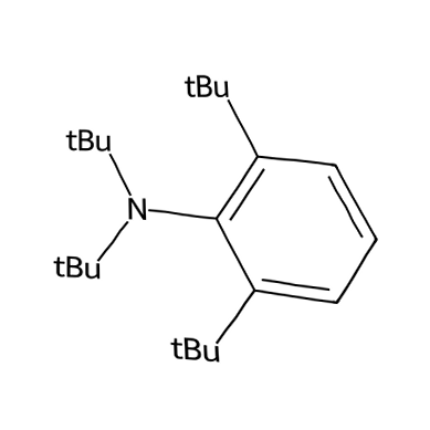 CC(C)(C)c1cccc(C(C)(C)C)c1N(C(C)(C)C)C(C)(C)C